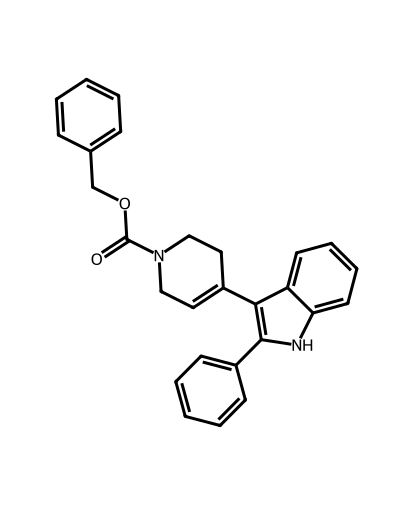 O=C(OCc1ccccc1)N1CC=C(c2c(-c3ccccc3)[nH]c3ccccc23)CC1